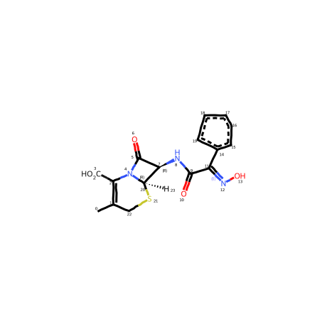 CC1=C(C(=O)O)N2C(=O)[C@@H](NC(=O)/C(=N/O)c3ccccc3)[C@H]2SC1